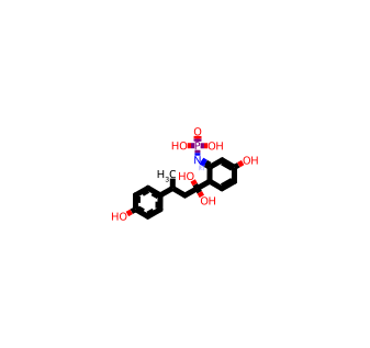 CC(CC(O)(O)C1C=CC(O)=C/C1=N\P(=O)(O)O)c1ccc(O)cc1